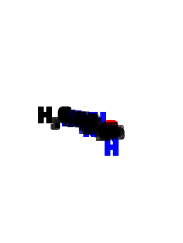 CCN1CCN(c2ccc(Nc3ncnc4c(/C=C/c5cccc(C(=O)NC6CC6)c5)csc34)cc2)CC1